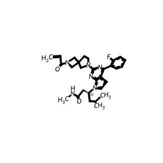 C=CC(=O)N1CC2(CCN(c3nc(-c4ccccc4F)c4ccn([C@H](CC(=O)NC)CC(C)C)c4n3)C2)C1